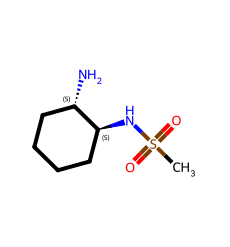 CS(=O)(=O)N[C@H]1CCCC[C@@H]1N